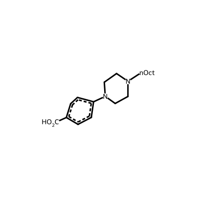 CCCCCCCCN1CCN(c2ccc(C(=O)O)cc2)CC1